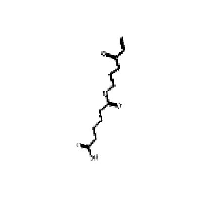 C=CC(=O)CCCOC(=O)CCCCC(=O)O